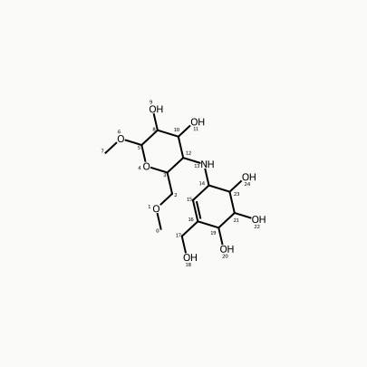 COCC1OC(OC)C(O)C(O)C1NC1C=C(CO)C(O)C(O)C1O